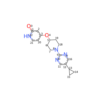 O=c1cc(OC2CCN(c3ncc(C4CC4)cn3)CC2)cc[nH]1